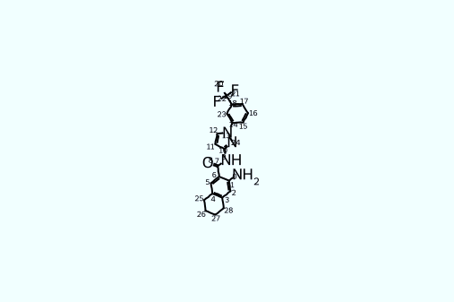 Nc1cc2c(cc1C(=O)Nc1ccn(-c3cccc(C(F)(F)F)c3)n1)CCCC2